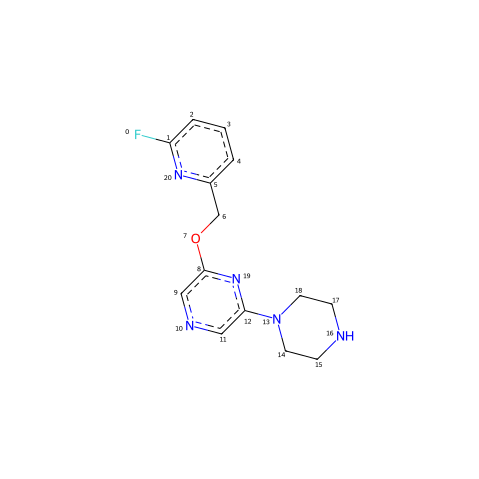 Fc1cccc(COc2cncc(N3CCNCC3)n2)n1